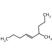 [CH2]CCC=CC(C)CCC